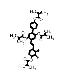 C=C(C)C(=O)Oc1ccc(-c2cc(OC(=O)C(=C)C)c(/C=C/c3ccc(OC(=O)C(=C)C)c(F)c3F)cc2OC(=O)C(=C)C)cc1